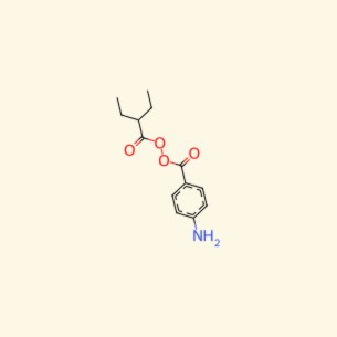 CCC(CC)C(=O)OOC(=O)c1ccc(N)cc1